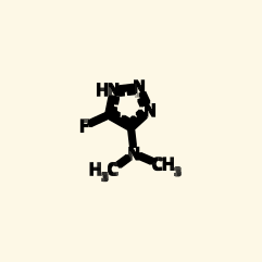 CN(C)c1nn[nH]c1F